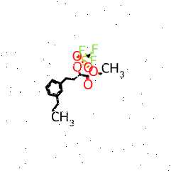 CCCc1cccc(CC[C@@H](OS(=O)(=O)C(F)(F)F)C(=O)OCC)c1